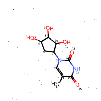 Cc1cn(C2CC(O)C(O)C2O)c(=O)[nH]c1=O